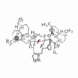 C[C@@H]1CC[C@H]2[C@@H](C)[C@](OCCn3nncc3CO[C@@]3(C(F)(F)F)C[C@@H]4O[C@]5(C)CC[C@H]6[C@H](C)CC[C@@H]([C@H]3C)[C@@]46OO5)(C(F)(F)F)O[C@@H]3O[C@]4(C)CC[C@@H]1[C@]32OO4